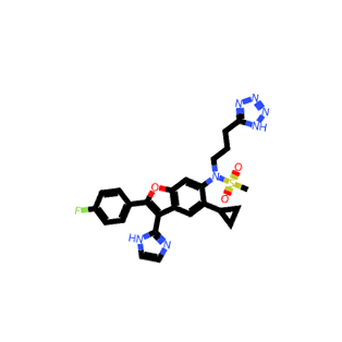 CS(=O)(=O)N(CCCc1nnn[nH]1)c1cc2oc(-c3ccc(F)cc3)c(-c3ncc[nH]3)c2cc1C1CC1